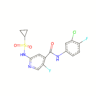 O=C(Nc1ccc(F)c(Cl)c1)c1cc(NS(=O)(=O)C2CC2)ncc1F